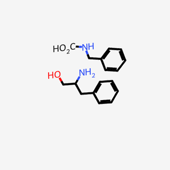 NC(CO)Cc1ccccc1.O=C(O)NCc1ccccc1